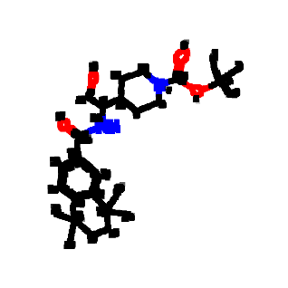 CC(C)(C)OC(=O)N1CCC(C(C=O)NC(=O)c2ccc3c(c2)C(C)(C)CCC3(C)C)CC1